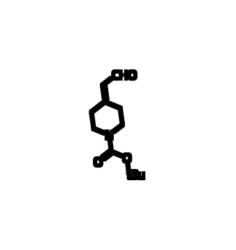 CC(C)(C)OC(=O)N1CCC(=CC=O)CC1